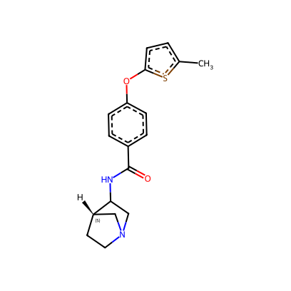 Cc1ccc(Oc2ccc(C(=O)NC3CN4CC[C@H]3C4)cc2)s1